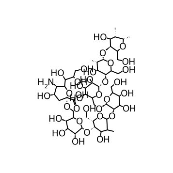 CC1C(O)[C@H](O[C@@H]2OC(CO[C@]3(C(=O)O)C[C@@H](O)[C@@H](N)C(C(O)[C@H](O)CO)O3)[C@H](O)C(O)[C@@H]2O)[C@H](CO)O[C@H]1O[C@@H]1C(O)[C@H](O)C(CO)O[C@@H]1OCC1O[C@@H](O[C@@H]2C(CO)O[C@@H](O[C@@H]3C(CO)O[C@@H](C)[C@@H](C)C3O)[C@@H](C)C2O)[C@H](O)C(O)[C@@H]1O